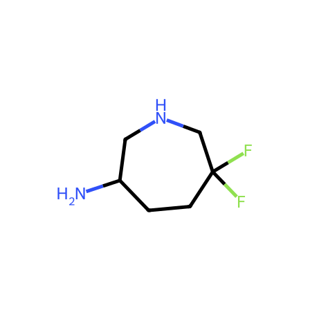 NC1CCC(F)(F)CNC1